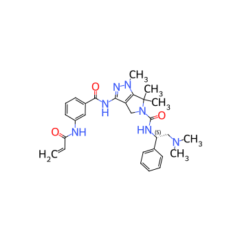 C=CC(=O)Nc1cccc(C(=O)Nc2nn(C)c3c2CN(C(=O)N[C@H](CN(C)C)c2ccccc2)C3(C)C)c1